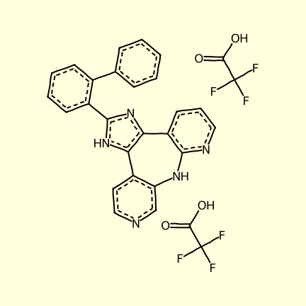 O=C(O)C(F)(F)F.O=C(O)C(F)(F)F.c1ccc(-c2ccccc2-c2nc3c([nH]2)-c2ccncc2Nc2ncccc2-3)cc1